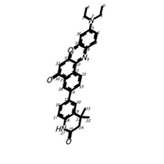 CCN(CC)c1ccc2nc3c4ccc(-c5ccc6c(c5)C(C)(C)CC(=O)N6)cc4c(=O)cc-3oc2c1